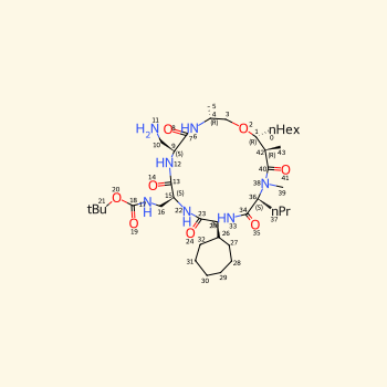 CCCCCC[C@H]1OC[C@@H](C)NC(=O)[C@H](CN)NC(=O)[C@H](CNC(=O)OC(C)(C)C)NC(=O)[C@H](C2CCCCCC2)NC(=O)[C@H](CCC)N(C)C(=O)[C@@H]1C